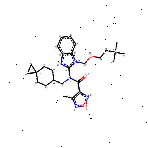 Cc1nonc1C(=O)N(CC1CCC2(CC1)CC2)c1nc2ccccc2n1COCC[Si](C)(C)C